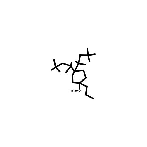 CCCC1(OO)CCC(C(C)(C)CC(C)(C)C)(C(C)(C)CC(C)(C)C)CC1